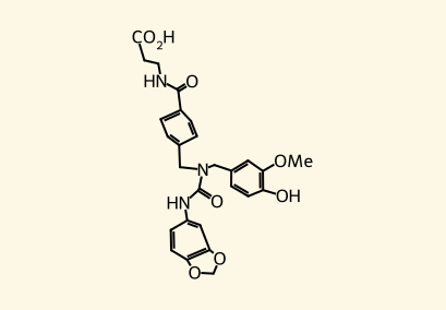 COc1cc(CN(Cc2ccc(C(=O)NCCC(=O)O)cc2)C(=O)Nc2ccc3c(c2)OCO3)ccc1O